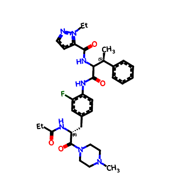 CCC(=O)N[C@H](Cc1ccc(NC(=O)C(NC(=O)c2ccnn2CC)[C@@H](C)c2ccccc2)c(F)c1)C(=O)N1CCN(C)CC1